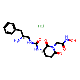 Cl.N[C@H](CNC(=O)N[C@H]1CCC(=O)N(CC(=O)NO)C1=O)Cc1ccccc1